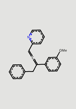 COc1cccc(C(=C=Cc2ccccn2)Cc2ccccc2)c1